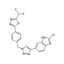 FC(F)c1nnc(-c2ccc(Cn3cc(-c4ccc5nc(Cl)[nH]c5c4)nn3)cc2)o1